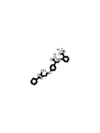 COC(=O)c1ccccc1NCC(C(=O)O)c1ccc(OCCc2nc(-c3ccccc3)oc2C)cc1